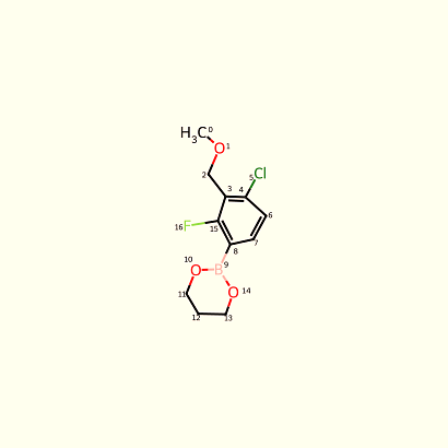 COCc1c(Cl)ccc(B2OCCCO2)c1F